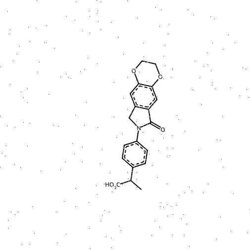 CC(C(=O)O)c1ccc(N2Cc3cc4c(cc3C2=O)OCCO4)cc1